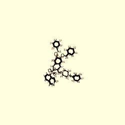 O=S(=O)(c1cccc2cnccc12)N1Cc2cc(OCc3ccccc3)c(OCc3ccccc3)cc2CC1CN1CCN(c2ccccc2)CC1